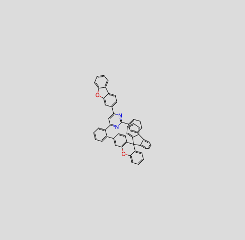 C1=CC(c2nc(-c3ccc4c(c3)oc3ccccc34)cc(-c3ccccc3-c3ccc4c(c3)Oc3ccccc3C43c4ccccc4-c4ccccc43)n2)=CCC1